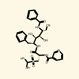 CCCC(CCC)S(=O)(=O)C[C@@H](NC(=O)c1cccnc1)C(=O)N[C@@H](Cc1ccccc1)[C@@H](O)[C@H](O)[C@@H](CC#N)NC(=O)c1ccccc1